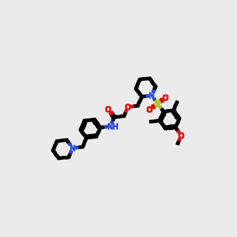 COc1cc(C)c(S(=O)(=O)N2CCCCC2COCC(=O)Nc2cccc(CN3CCCCC3)c2)c(C)c1